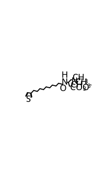 C[N+](C)(C)CC(CC(=O)[O-])NC(=O)CCCCCCCCCc1ccsc1